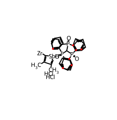 CC1=[CH][SbH][C]([Zr])=C1C.Cl.Cl.O=P(c1ccccc1)(c1ccccc1)C(P(=O)(c1ccccc1)c1ccccc1)P(=O)(c1ccccc1)c1ccccc1